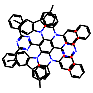 Cc1ccc2c(c1)c1cc(C)ccc1n2-c1c(-c2nc(-c3ccccc3)nc(-c3ccccc3)n2)c(-n2c3ccc(C)cc3c3cc(C)ccc32)c(N(c2ccccc2)c2ccccc2)c(-c2nc(-c3ccccc3)nc(-c3ccccc3)n2)c1N(c1ccccc1)c1ccccc1